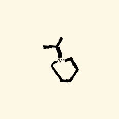 CC(C)=[N+]1CCCCC1